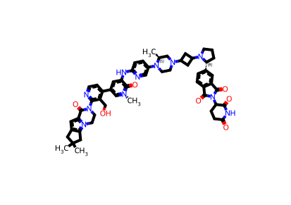 C[C@H]1CN(C2CC(N3CCC[C@@H]3c3ccc4c(c3)C(=O)N(C3CCC(=O)NC3=O)C4=O)C2)CCN1c1ccc(Nc2cc(-c3ccnc(N4CCn5c(cc6c5CC(C)(C)C6)C4=O)c3CO)cn(C)c2=O)nc1